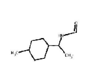 [CH2]C(NC=O)C1CCC(C)CC1